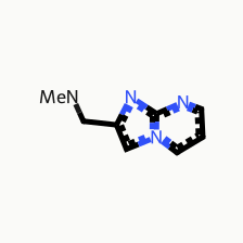 CNCc1cn2cccnc2n1